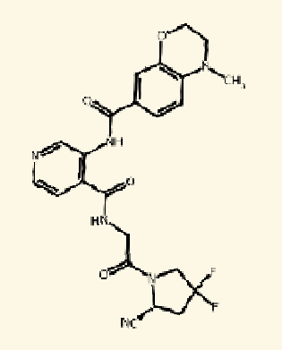 CN1CCOc2cc(C(=O)Nc3cnccc3C(=O)NCC(=O)N3CC(F)(F)C[C@H]3C#N)ccc21